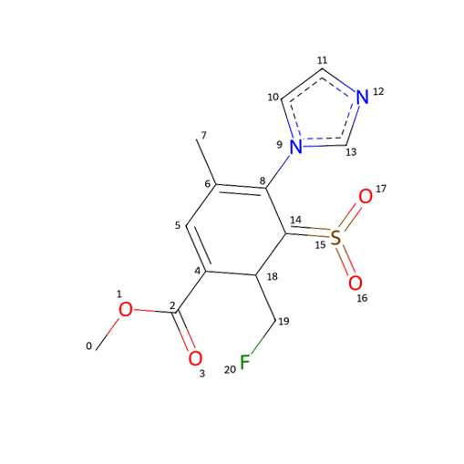 COC(=O)C1=CC(C)=C(n2ccnc2)C(=S(=O)=O)C1CF